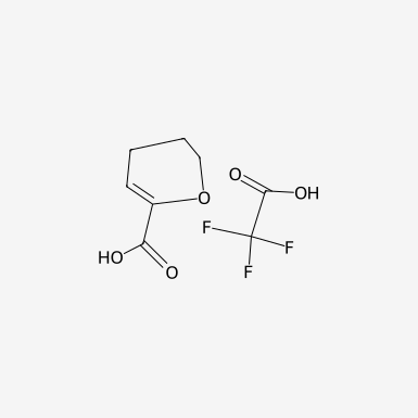 O=C(O)C(F)(F)F.O=C(O)C1=CCCCO1